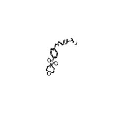 NCc1ccc(S(=O)(=O)N2CCOCC2)cc1